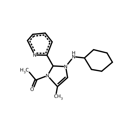 CC(=O)N1C(C)=CN(NC2CCCCC2)C1c1ccccn1